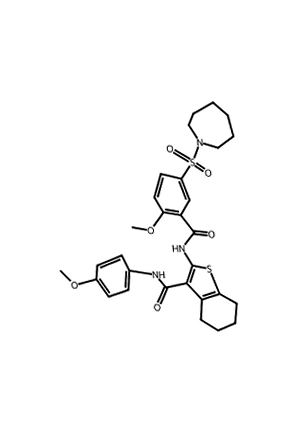 COc1ccc(NC(=O)c2c(NC(=O)c3cc(S(=O)(=O)N4CCCCCC4)ccc3OC)sc3c2CCCC3)cc1